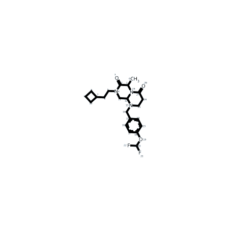 CC1C(=O)N(CCC2CCC2)CC2N(Cc3ccc(OC(F)F)cc3)CCC(=O)N12